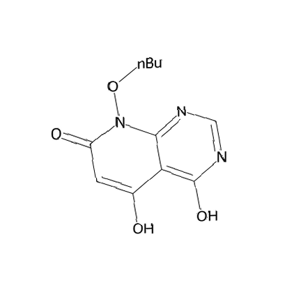 CCCCOn1c(=O)cc(O)c2c(O)ncnc21